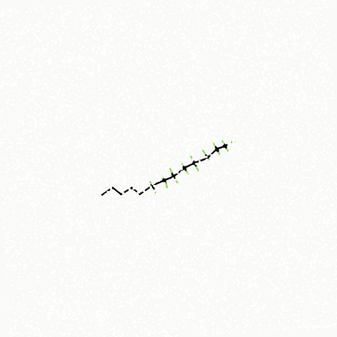 [CH2]CCCCC(F)(F)C(F)(F)C(F)(F)C(F)(F)C(F)(F)C(F)(F)C(F)(F)C(F)(F)F